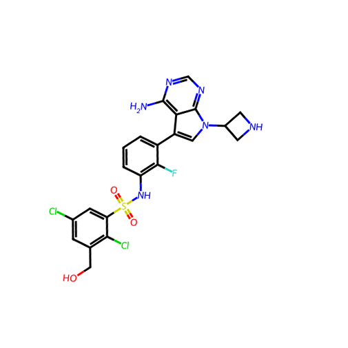 Nc1ncnc2c1c(-c1cccc(NS(=O)(=O)c3cc(Cl)cc(CO)c3Cl)c1F)cn2C1CNC1